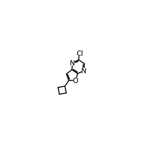 Clc1cnc2oc(C3CCC3)cc2n1